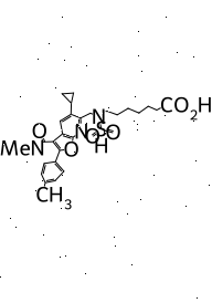 CNC(=O)c1c(-c2ccc(C)cc2)oc2nc(CN(CCCCCCC(=O)O)[SH](=O)=O)c(C3CC3)cc12